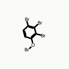 BrOc1ccc(Br)c(Br)c1Br